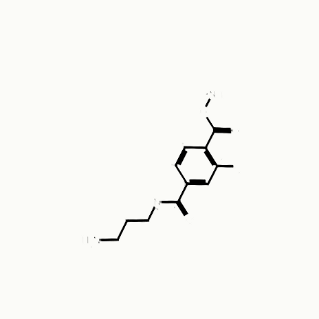 NCCCNC(=O)c1ccc(C(=O)ON)c(O)c1